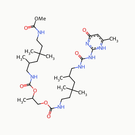 COC(=O)NCCC(C)(C)CC(C)CNC(=O)OC(C)COC(=O)NCCC(C)(C)CC(C)CNC(=O)Nc1nc(=O)cc(C)[nH]1